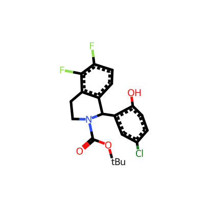 CC(C)(C)OC(=O)N1CCc2c(ccc(F)c2F)C1c1cc(Cl)ccc1O